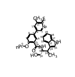 CCCOc1ccc(-c2cnc(F)c(C)c2)cc1C(=O)N[C@@H](CO)C(C)c1c[nH]c2ccccc12